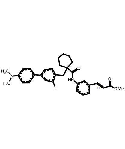 COC(=O)/C=C/c1cccc(NC(=O)C2(Cc3ccc(-c4ccc(N(C)C)cc4)cc3F)CCCCC2)c1